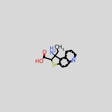 CCC1(N)c2c(ccc3ncccc23)SC1C(=O)O